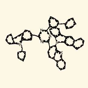 c1ccc(-c2cccc(-c3nc(-c4ccc5c6ccccc6n(-c6ccccc6)c5c4)nc(-c4ccc5c(sc6ccccc65)c4-n4c5ccccc5c5cc6ccccc6cc54)n3)c2)cc1